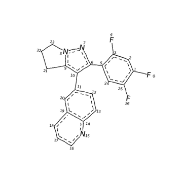 Fc1cc(F)c(-c2nn3c(c2-c2ccc4ncccc4c2)CCC3)cc1F